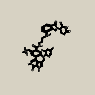 Cn1cc2c3c(c[nH]c3c1=O)CN(c1ncc(F)cc1F)c1cc(C(=O)NCCCNc3cccc4c3CN(C3CCC(=O)NC3=O)C4=O)c(CS(C)(=O)=O)cc1-2